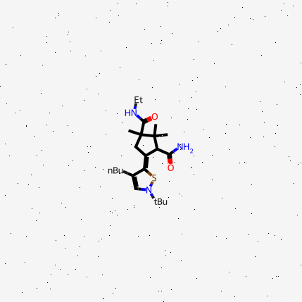 CCCCC1=CN(C(C)(C)C)S/C1=C1/CC(C)(C(=O)NCC)C(C)(C)C1C(N)=O